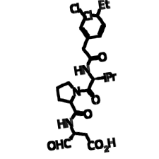 CCC(Cl)/C=C\C(=C/CCl)CC(=O)N[C@H](C(=O)N1CCCC1C(=O)N[C@H](C=O)CC(=O)O)C(C)C